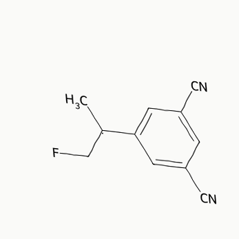 C[C](CF)c1cc(C#N)cc(C#N)c1